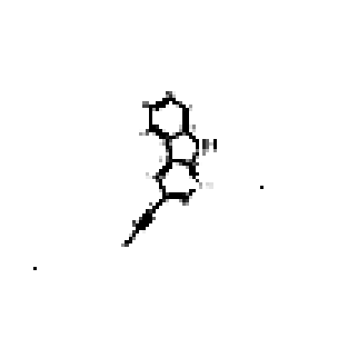 CC#Cc1cnc2[nH]c3ccccc3c2c1